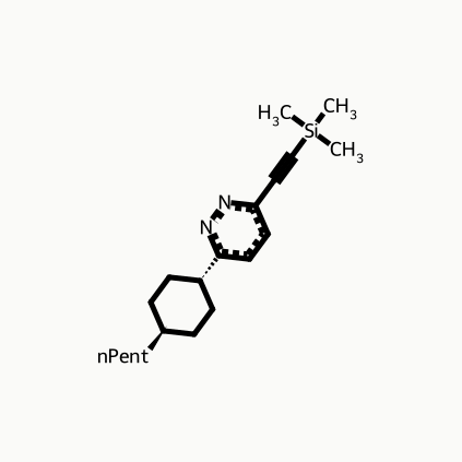 CCCCC[C@H]1CC[C@H](c2ccc(C#C[Si](C)(C)C)nn2)CC1